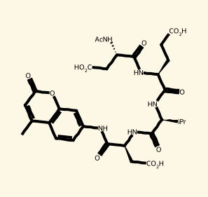 CC(=O)N[C@@H](CC(=O)O)C(=O)N[C@@H](CCC(=O)O)C(=O)N[C@H](C(=O)N[C@@H](CC(=O)O)C(=O)Nc1ccc2c(C)cc(=O)oc2c1)C(C)C